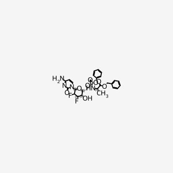 C[C@H](NP(=O)(OC[C@H]1O[C@@H](n2ccc(N)nc2=O)C(F)[C@@H](F)[C@H]1O)Oc1ccccc1)C(=O)OCc1ccccc1